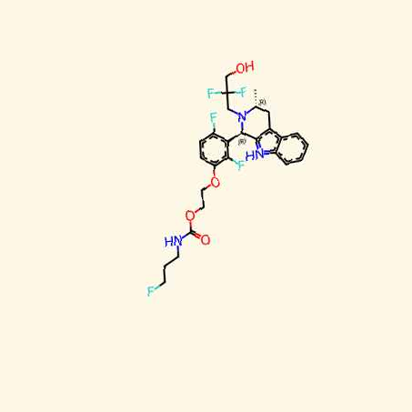 C[C@@H]1Cc2c([nH]c3ccccc23)[C@@H](c2c(F)ccc(OCCOC(=O)NCCCF)c2F)N1CC(F)(F)CO